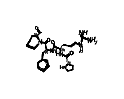 N=C(N)NCCC[C@H](NC(=O)[C@@H]1CCCN1)C(=O)N[C@@H](Cc1ccccc1)C(=O)N1CCC[C@H]1[C]=O